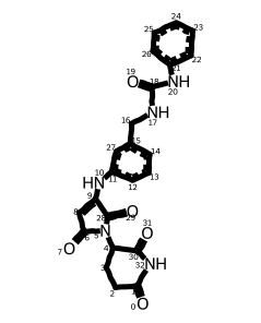 O=C1CCC(N2C(=O)C=C(Nc3cccc(CNC(=O)Nc4ccccc4)c3)C2=O)C(=O)N1